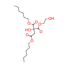 CCCCCCOC(=O)CC(O)(C(=O)OCCO)C(=O)OCCCCCC